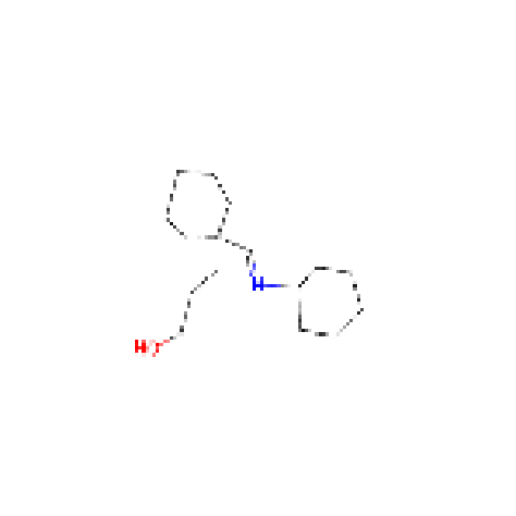 OCCCC1(C=NC2CCCCC2)CCCCC1